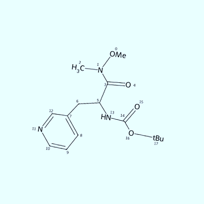 CON(C)C(=O)C(Cc1cccnc1)NC(=O)OC(C)(C)C